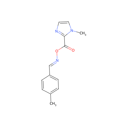 Cc1ccc(C=NOC(=O)c2nccn2C)cc1